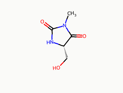 CN1C(=O)N[C@@H](CO)C1=O